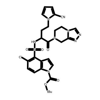 CC(C)(C)OC(=O)n1ccc2c(S(=O)(=O)NC(CCn3cccc3C#N)C(=O)N3CCn4cnnc4C3)c(Cl)ccc21